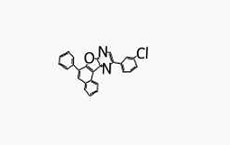 Clc1cccc(-c2cnc3oc4c(-c5ccccc5)cc5ccccc5c4c3n2)c1